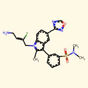 Cc1c(-c2cccc(S(=O)(=O)N(C)C)c2)c2cc(-c3ncon3)ccc2n1CC(F)=CCN